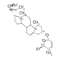 CC[C@H]1OC(O[C@H]2CC[C@@]3(C)C(=CCC4C3CC[C@@]3(C)C4CC[C@@H]3/C(C)=N/OCC(C)C)C2)C=C[C@@H]1C